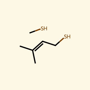 CC(C)=CCS.CS